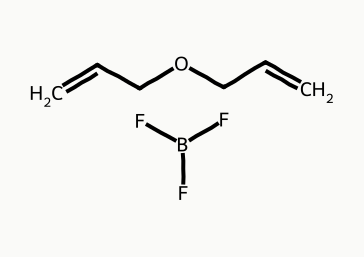 C=CCOCC=C.FB(F)F